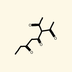 CCC(=O)CC(=O)C(C(C)=O)C(C)=O